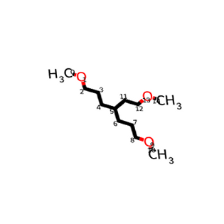 COCCCC(CCCOC)CCOC